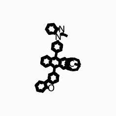 Cc1nc2ccccc2n1-c1ccc(-c2c3ccccc3c(-c3ccc4oc5ccccc5c4c3)c3cc4c(cc23)C2CC3CC(C2)CC4C3)cc1